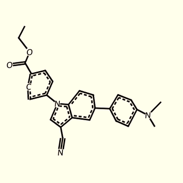 CCOC(=O)c1ccc(-n2cc(C#N)c3cc(-c4ccc(N(C)C)cc4)ccc32)cc1